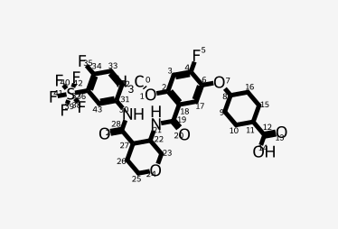 COc1cc(F)c(OC2CCC(C(=O)O)CC2)cc1C(=O)NC1COCCC1C(=O)Nc1ccc(F)c(S(F)(F)(F)(F)F)c1